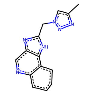 Cc1cn(Cc2nc3cnc4ccccc4c3[nH]2)nn1